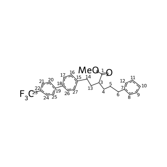 COC(=O)C(CCCc1ccccc1)CCc1ccc(-c2ccc(C(F)(F)F)cc2)cc1